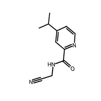 CC(C)c1ccnc(C(=O)NCC#N)c1